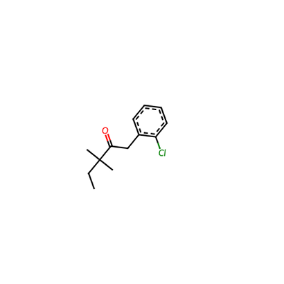 CCC(C)(C)C(=O)Cc1ccccc1Cl